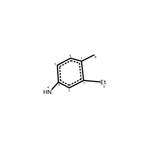 CCc1cc([NH])ccc1C